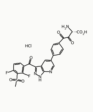 CS(=O)(=O)c1c(F)ccc(C(=O)c2n[nH]c3ncc(-c4ccc(C(=O)C(=O)[C@H](N)C(=O)O)cc4)cc23)c1F.Cl